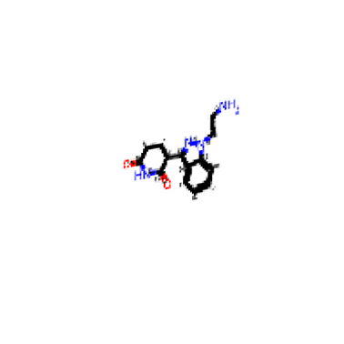 NCCn1nc(C2CCC(=O)NC2=O)c2ccccc21